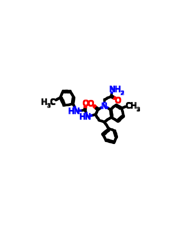 Cc1cccc(NC(=O)NC2CC(c3ccccc3)c3ccc(C)cc3N(CC(N)=O)C2=O)c1